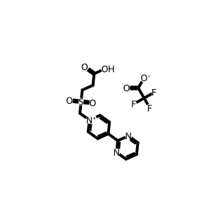 O=C(O)CCS(=O)(=O)C[n+]1ccc(-c2ncccn2)cc1.O=C([O-])C(F)(F)F